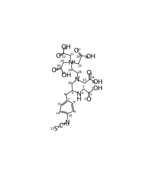 O=C(O)CNC(Cc1ccc(N=C=S)cc1)CN(CC[N+](CC(=O)O)(CC(=O)O)CC(=O)O)CC(=O)O